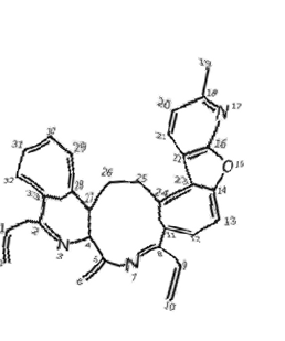 C=CC1=NC2C(=C)/N=C(/C=C)c3ccc4oc5nc(C)ccc5c4c3CCC2c2ccccc21